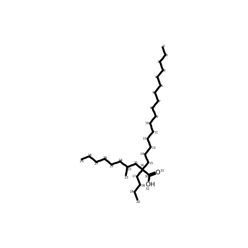 CCCCCCCCCCCCCCCCC(CCCC)(CC(C)CCCCCC)C(=O)O